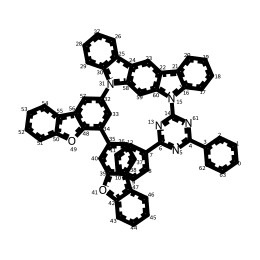 c1ccc(-c2nc(-c3ccccc3)nc(-n3c4ccccc4c4cc5c6ccccc6n(-c6cc(-c7ccc8c(c7)oc7ccccc78)c7oc8ccccc8c7c6)c5cc43)n2)cc1